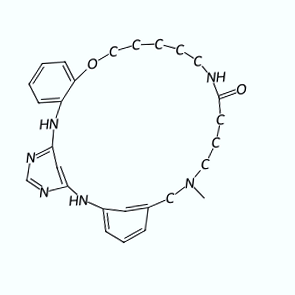 CN1CCCC(=O)NCCCCCOc2ccccc2Nc2cc(ncn2)Nc2cccc(c2)C1